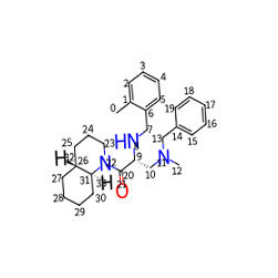 Cc1ccccc1CN[C@H](CN(C)Cc1ccccc1)C(=O)N1CCC[C@H]2CCCC[C@@H]21